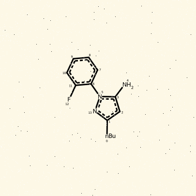 CCCCc1cc(N)n(-c2ccccc2F)n1